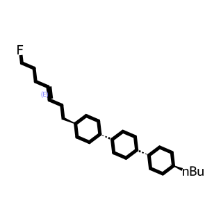 CCCC[C@H]1CC[C@H](C2CCC([C@H]3CC[C@H](CC/C=C/CCCF)CC3)CC2)CC1